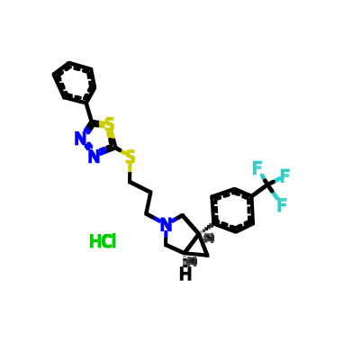 Cl.FC(F)(F)c1ccc([C@]23C[C@H]2CN(CCCSc2nnc(-c4ccccc4)s2)C3)cc1